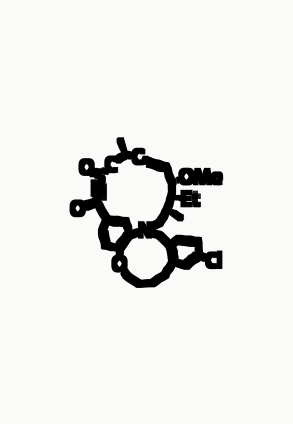 CC[C@H]1[C@@H](OC)/C=C/C[C@H](C)C/[SH](=O)=N\C(=O)c2ccc3c(c2)N(Cc2ccc(Cl)cc2CCCCO3)C[C@@H]1C